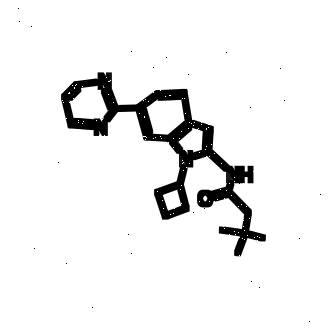 CC(C)(C)CC(=O)Nc1cc2ccc(-c3ncccn3)cc2n1C1CCC1